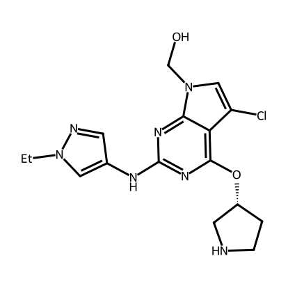 CCn1cc(Nc2nc(O[C@@H]3CCNC3)c3c(Cl)cn(CO)c3n2)cn1